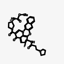 CC(C)(C)OC(=O)N[C@@H]1CCN(C(=O)c2cn3c4c(c(NC(=O)CCN5CCCC5)c(F)cc4c2=O)Oc2cc4ccccc4cc2-3)C1